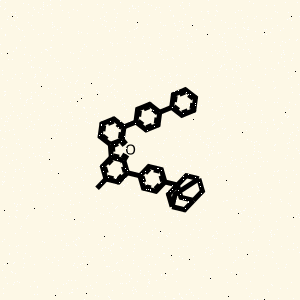 Cc1cc(-c2ccc(C34CC5CC(CC(C5)C3)C4)cc2)c2oc3c(-c4ccc(-c5ccccc5)cc4)cccc3c2c1